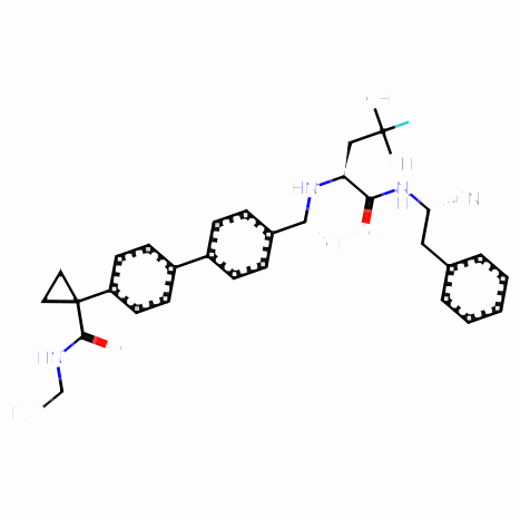 CC(C)(F)C[C@H](N[C@@H](c1ccc(-c2ccc(C3(C(=O)NCC(F)(F)F)CC3)cc2)cc1)C(F)(F)F)C(=O)N[C@H](C#N)Cc1ccccc1